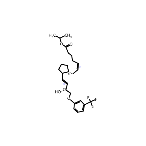 CC(C)OC(=O)CCC/C=C\C[C@H]1CCCC1/C=C/[C@@H](O)COc1cccc(C(F)(F)F)c1